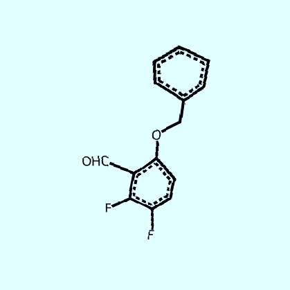 O=Cc1c(OCc2ccccc2)ccc(F)c1F